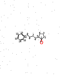 O=C1CCCC1CCCCc1ccccc1